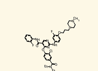 CCN(CC)C(=O)c1ccc(Oc2nc(Nc3ccc(OCCCN4CCN(C)CC4)c(F)c3)ncc2C(=O)Nc2ccccc2F)c(Cl)c1